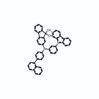 CC1(C)c2ccccc2-c2ccc(N(c3ccc(-c4cccc5ccccc45)cc3)c3cccc(-n4c5ccccc5c5ccccc54)c3)cc21